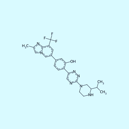 Cc1cn2cc(-c3ccc(-c4cnc(N5CCNC(C(C)C)C5)nn4)c(O)c3)cc(C(F)(F)F)c2n1